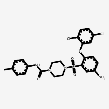 Cc1ccc(NC(=O)N2CCN(S(=O)(=O)c3cc([N+](=O)[O-])ccc3Sc3cc(Cl)ccc3Cl)CC2)cc1